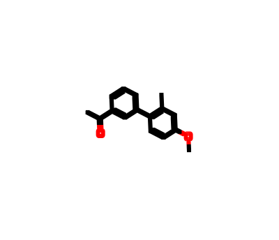 COc1ccc(-c2cccc(C(C)=O)c2)c(C)c1